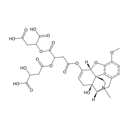 COc1ccc2c3c1O[C@H]1C(OC(=O)CC(OC(=O)CC(O)C(=O)O)C(=O)OC(CC(=O)O)C(=O)O)=CC[C@@]4(O)[C@@H](C2)N(C)CC[C@]314